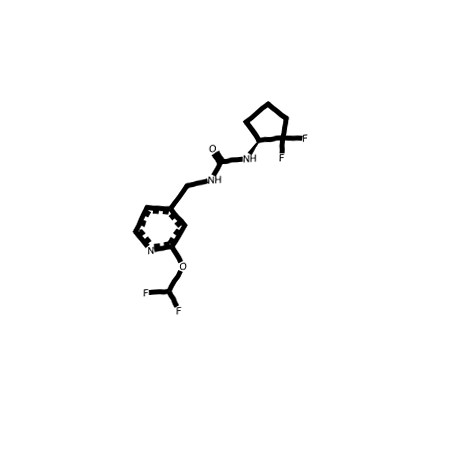 O=C(NCc1ccnc(OC(F)F)c1)N[C@H]1CCCC1(F)F